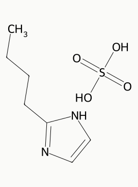 CCCCc1ncc[nH]1.O=S(=O)(O)O